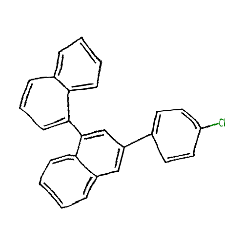 Clc1ccc(-c2cc(-c3cccc4ccccc34)c3ccccc3c2)cc1